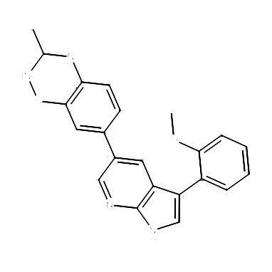 COc1ccccc1-c1c[nH]c2ncc(-c3ccc4c(c3)SNC(C)N4)cc12